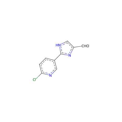 O=Cc1c[nH]c(-c2ccc(Cl)nc2)n1